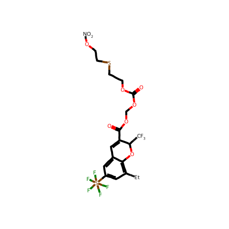 CCc1cc(S(F)(F)(F)(F)F)cc2c1OC(C(F)(F)F)C(C(=O)OCOC(=O)OCCSCCO[N+](=O)[O-])=C2